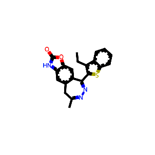 CCc1c(C2=NN=C(C)Cc3cc4[nH]c(=O)oc4cc32)sc2ccccc12